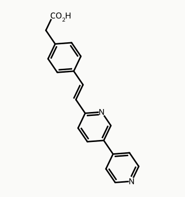 O=C(O)Cc1ccc(C=Cc2ccc(-c3ccncc3)cn2)cc1